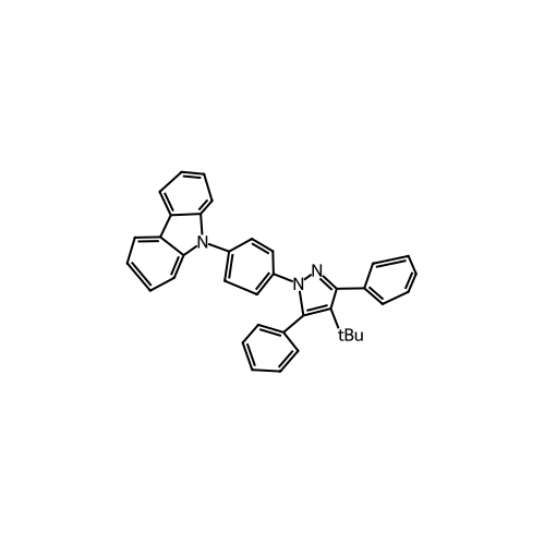 CC(C)(C)c1c(-c2ccccc2)nn(-c2ccc(-n3c4ccccc4c4ccccc43)cc2)c1-c1ccccc1